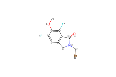 COc1c(F)cc2c(c1F)C(=O)N(CBr)C2